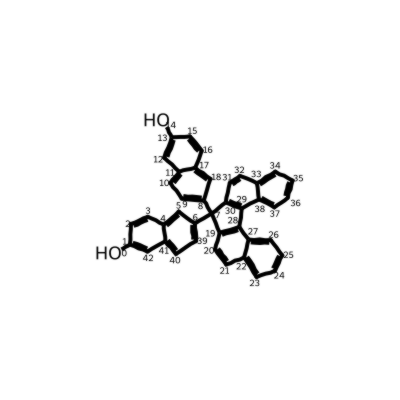 Oc1ccc2cc(C3(c4ccc5cc(O)ccc5c4)c4ccc5ccccc5c4-c4c3ccc3ccccc43)ccc2c1